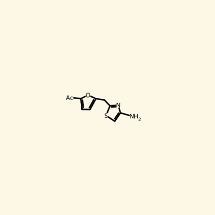 CC(=O)c1ccc(Cc2nc(N)cs2)o1